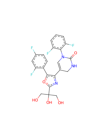 O=C1NCC(c2nc(C(O)(CO)CO)oc2-c2ccc(F)cc2F)=CN1c1c(F)cccc1F